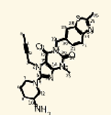 CC#CCn1c(N2CCCC(N)C2)nc2c1c(=O)n(Cc1ccc3nc(C)sc3c1)c(=O)n2C